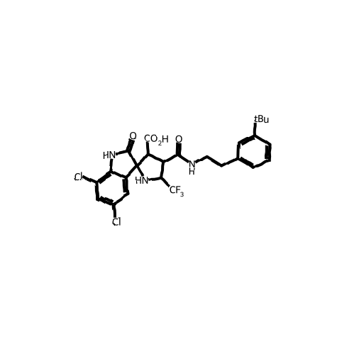 CC(C)(C)c1cccc(CCNC(=O)C2C(C(F)(F)F)NC3(C(=O)Nc4c(Cl)cc(Cl)cc43)C2C(=O)O)c1